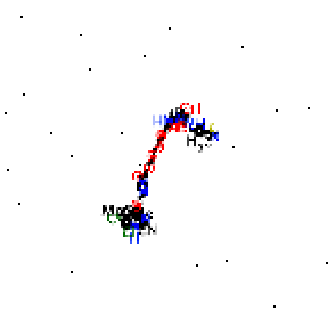 COc1cc(Nc2c(C#N)cnc3cc(OCCCN4CCN(C(=O)CCOCCOCCOCCOCCC(=O)NC(C(=O)N5C[C@H](O)C[C@H]5C(=O)NCc5ccc(-c6scnc6C)cc5)C(C)(C)C)CC4)c(OC)cc23)c(Cl)cc1Cl